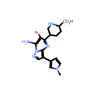 Cn1ccc(-c2cnn3c(N)c(Br)c(C4CCC(C(=O)O)NC4)nc23)c1